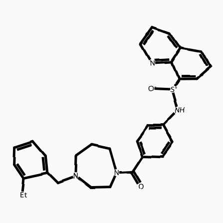 CCc1ccccc1CN1CCCN(C(=O)c2ccc(N[S+]([O-])c3cccc4cccnc34)cc2)CC1